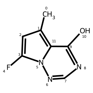 Cc1cc(F)n2ncnc(O)c12